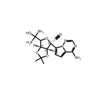 BC(B)(O)C1O[C@@](C#N)(c2ccc3c(N)ncnn23)[C@@H]2OC(C)(C)O[C@H]12